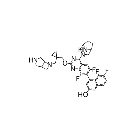 Oc1cc(-c2c(F)cc3c(N4CC5CCC(C4)N5)nc(OCC4(CN5CC6CNCC65)CC4)nc3c2F)c2c(F)c(F)ccc2c1